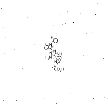 CC(C)(Cc1coc([C@]2(C)C(=O)Nc3nc(-c4nn(Cc5ccccc5F)c5ncccc45)nc(N)c32)n1)C(=O)O